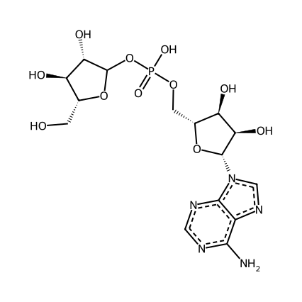 Nc1ncnc2c1ncn2[C@@H]1O[C@H](COP(=O)(O)OC2O[C@H](CO)[C@@H](O)[C@@H]2O)[C@@H](O)[C@H]1O